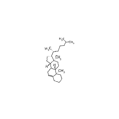 CC(C)CCC[C@@H](C)[C@H]1CC[C@H]2C3CC=C4CCCC[C@]4(C)[C@H]3CC[C@]12C